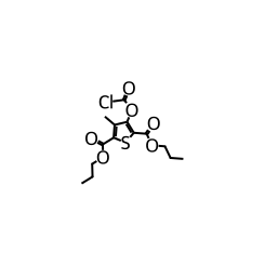 CCCOC(=O)c1sc(C(=O)OCCC)c(OC(=O)Cl)c1C